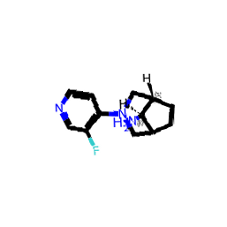 N[C@@H]1C2CC[C@H]1CN(c1ccncc1F)C2